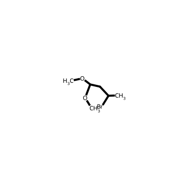 COC(CC(C)Br)OC